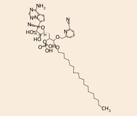 CCCCCCCCCCCCCCCCCCOCC(OCc1cccc(C#N)n1)C(C[C@H]1O[C@@](C#N)(c2ccc3c(N)ncnn23)[C@H](O)[C@@H]1O)OP(=O)(O)O